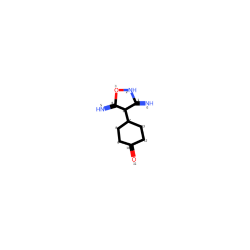 N=C1NOC(=N)C1C1CCC(=O)CC1